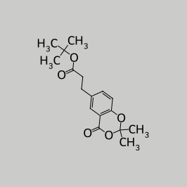 CC(C)(C)OC(=O)CCc1ccc2c(c1)C(=O)OC(C)(C)O2